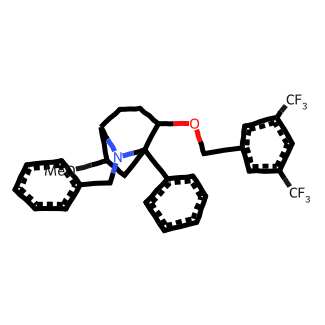 COC1CC2(c3ccccc3)C(OCc3cc(C(F)(F)F)cc(C(F)(F)F)c3)CCC1N2Cc1ccccc1